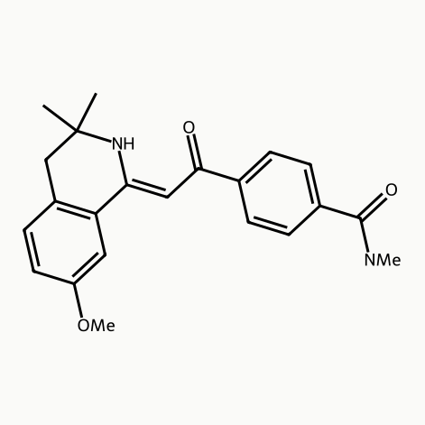 CNC(=O)c1ccc(C(=O)C=C2NC(C)(C)Cc3ccc(OC)cc32)cc1